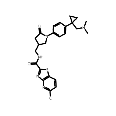 CN(C)CC1(c2ccc(N3CC(CNC(=O)c4nc5nc(Cl)ccc5s4)CC3=O)cc2)CC1